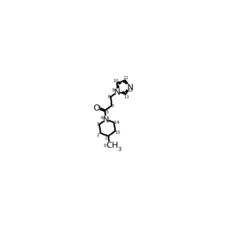 CC1CCN(C(=O)CCn2ccnc2)CC1